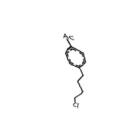 CC(=O)c1ccc(CCCCCl)cc1